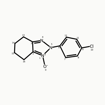 [O-][n+]1c2c(nn1-c1ccc(Cl)cc1)CCCC2